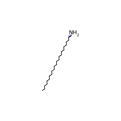 CCCCCCCCCCCCCCCCCCCCCC/C=C/N